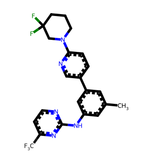 Cc1cc(Nc2nccc(C(F)(F)F)n2)cc(-c2ccc(N3CCCC(F)(F)C3)nc2)c1